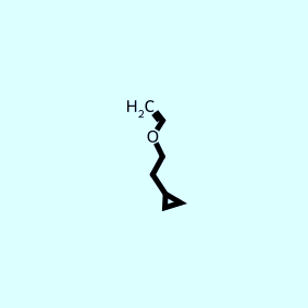 C=COCCC1CC1